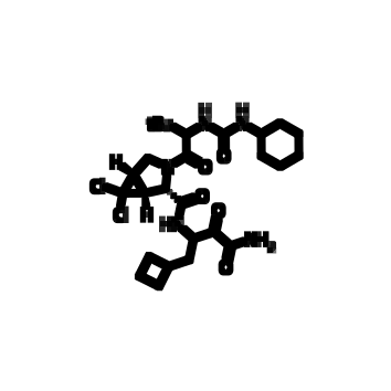 CC(C)(C)C(NC(=O)NC1CCCCC1)C(=O)N1C[C@@H]2[C@H]([C@H]1C(=O)NC(CC1CCC1)C(=O)C(N)=O)C2(Cl)Cl